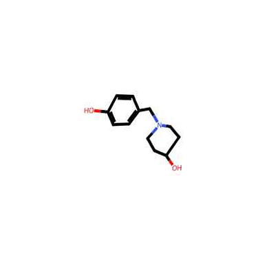 Oc1ccc(CN2CCC(O)CC2)cc1